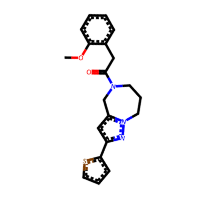 COc1ccccc1CC(=O)N1CCCn2nc(-c3cccs3)cc2C1